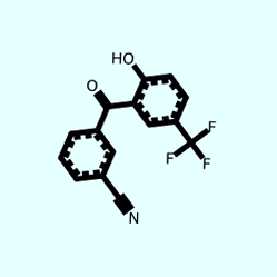 N#Cc1cccc(C(=O)c2cc(C(F)(F)F)ccc2O)c1